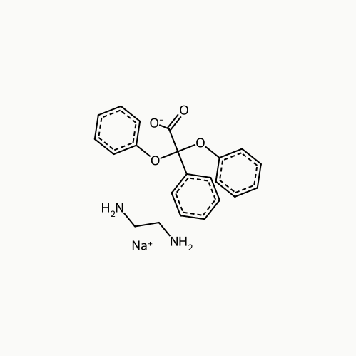 NCCN.O=C([O-])C(Oc1ccccc1)(Oc1ccccc1)c1ccccc1.[Na+]